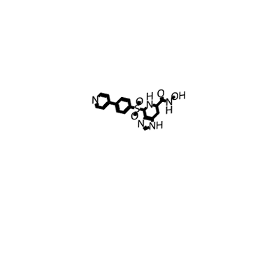 O=C(NO)C1Cc2[nH]cnc2C(S(=O)(=O)c2ccc(-c3ccncc3)cc2)N1